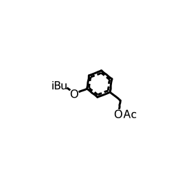 CCC(C)Oc1cccc(COC(C)=O)c1